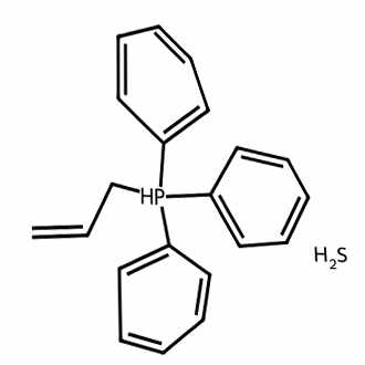 C=CC[PH](c1ccccc1)(c1ccccc1)c1ccccc1.S